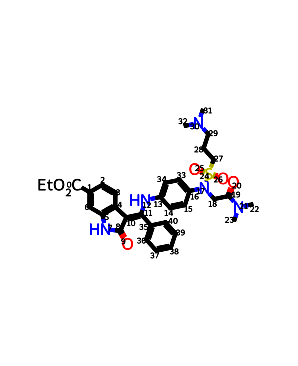 CCOC(=O)c1ccc2c(c1)NC(=O)C2=C(Nc1ccc(N(CC(=O)N(C)C)S(=O)(=O)CCCN(C)C)cc1)c1ccccc1